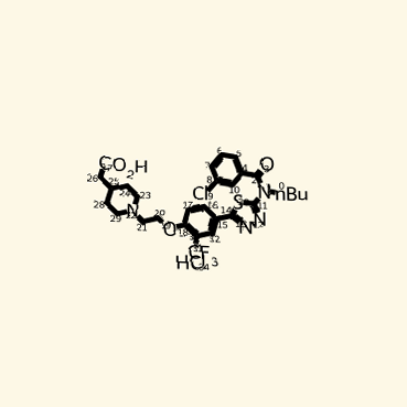 CCCCN(C(=O)c1cccc(Cl)c1)c1nnc(-c2ccc(OCCN3CCC(CC(=O)O)CC3)c(C(F)(F)F)c2)s1.Cl